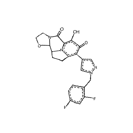 O=C1c2c(O)c(=O)c(-c3cnn(Cc4ccc(F)cc4F)c3)c3n2C(CC3)C2OCCN12